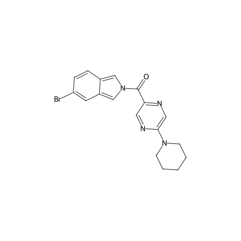 O=C(c1cnc(N2CCCCC2)cn1)n1cc2ccc(Br)cc2c1